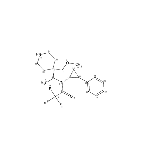 COCC1(C(C)N(C(=O)C(F)(F)F)[C@@H]2CC2c2ccccc2)CCNCC1